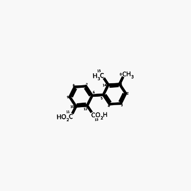 Cc1cccc(-c2cccc(C(=O)O)c2C(=O)O)c1C